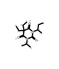 CCC(C)N1C(=O)N(C(C)C)C(=O)C(CC)(CC)C1=O